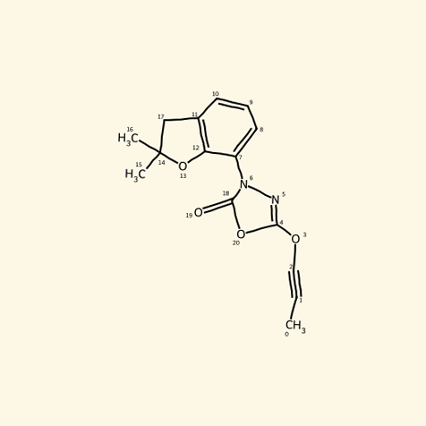 CC#COc1nn(-c2cccc3c2OC(C)(C)C3)c(=O)o1